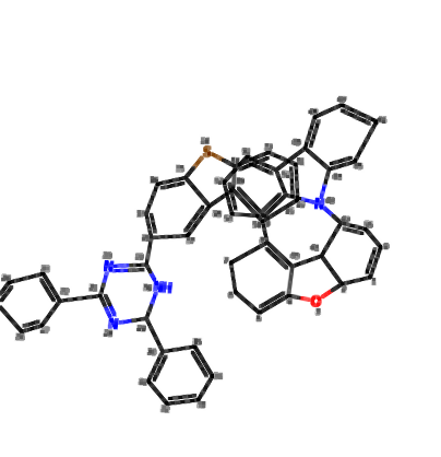 C1=CC2OC3=CCCC(c4cccc5sc6ccc(C7=NC(c8ccccc8)=NC(c8ccccc8)N7)cc6c45)=C3C2C(n2c3ccccc3c3ccccc32)=C1